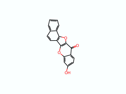 O=c1c2ccc(O)cc2oc2c1oc1c3ccccc3ccc21